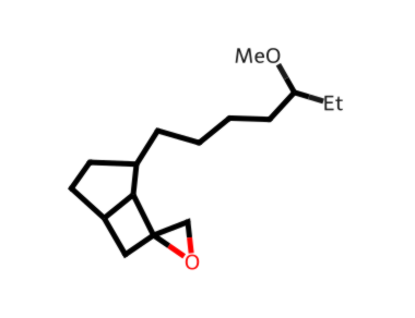 CCC(CCCCC1CCC2CC3(CO3)C12)OC